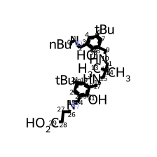 CCCC/N=C/c1cc(C(C)(C)C)cc(CNCC(C)(C)CNCc2cc(C(C)(C)C)cc(/C=N/CCCC(=O)O)c2O)c1O